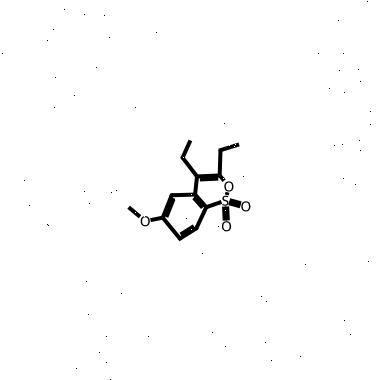 CCC1=C(CC)c2cc(OC)ccc2S(=O)(=O)O1